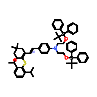 CC(C)c1cccc(C(C)C)c1SC1=C(/C=C/c2ccc(N(CCO[Si](c3ccccc3)(c3ccccc3)C(C)(C)C)CCO[Si](c3ccccc3)(c3ccccc3)C(C)(C)C)cc2)CC(C)(C)CC1=O